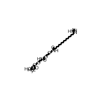 CC(=O)N(CC(=O)O)OCCOCCNC(=O)COCCOCCNC(=O)CCCCCCCCCCCCCCCc1nnn[nH]1